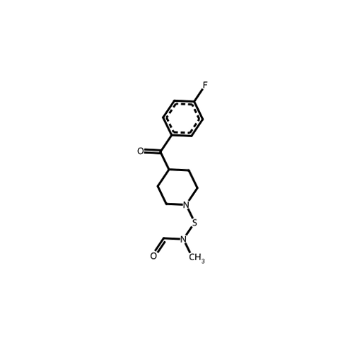 CN(C=O)SN1CCC(C(=O)c2ccc(F)cc2)CC1